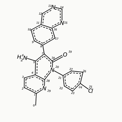 Cc1ccc2c(N)c(-c3ccc4cncnc4c3)c(=O)n(-c3ccc(Cl)cc3)c2n1